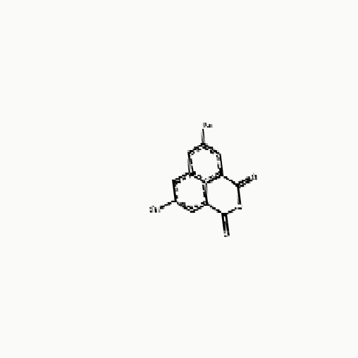 CC(C)(C)c1cc2c3c(cc(C(C)(C)C)cc3c1)C(=O)OC2=O